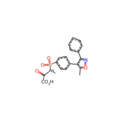 Cc1onc(-c2ccccc2)c1-c1ccc(S(=O)(=O)[As](C)C(=O)C(=O)O)cc1